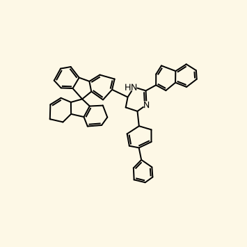 C1=CC2=C(CC1)C1(c3ccccc3-c3ccc(C4CC(C5C=CC(c6ccccc6)=CC5)N=C(c5ccc6ccccc6c5)N4)cc31)C1C=CCCC21